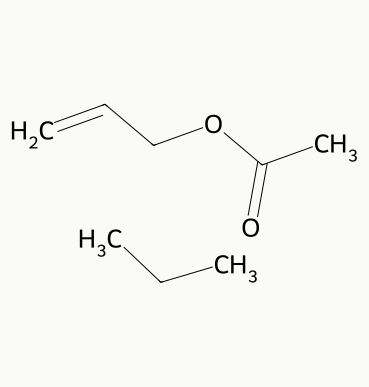 C=CCOC(C)=O.CCC